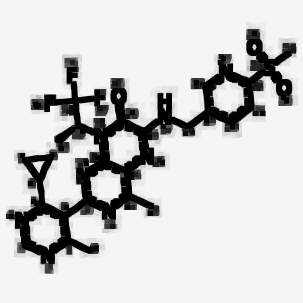 Cc1ncnc(C2CC2)c1-c1nc(C)c2nc(NCc3ccc(S(C)(=O)=O)nc3)c(=O)n([C@@H](C)C(F)(F)F)c2n1